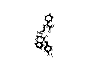 Nc1ccc(CN2C(=O)[C@@H](NCC[C@H](C(=O)O)C3CCCCC3)COc3ccccc32)cc1